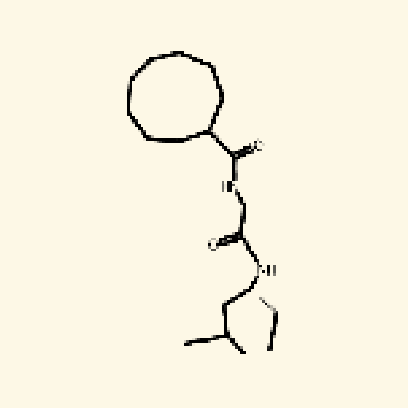 CC[C@H](CC(C)C)NC(=O)CNC(=O)C1CCCCCCCC1